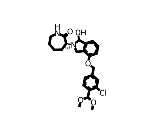 COC(OC)c1ccc(COc2cccc3c2CN([C@H]2CCCCNC2=O)C3O)cc1Cl